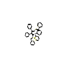 c1ccc(C2=C(c3cc4ccccc4s3)[Si](c3ccccc3)(c3ccccc3)C(c3cc4ccccc4s3)=C2c2ccccc2)cc1